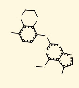 CCNc1nc(Nc2ccc(C=O)c3c2OCCO3)nc2[nH]cc(C(F)(F)F)c12